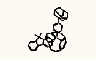 CC1(C)c2ccccc2-c2ccc(N(c3ccc(C45CC6CC(CC(C6)C4)C5)cc3)c3cc4ccc3CCc3ccc(cc3)CC4)cc21